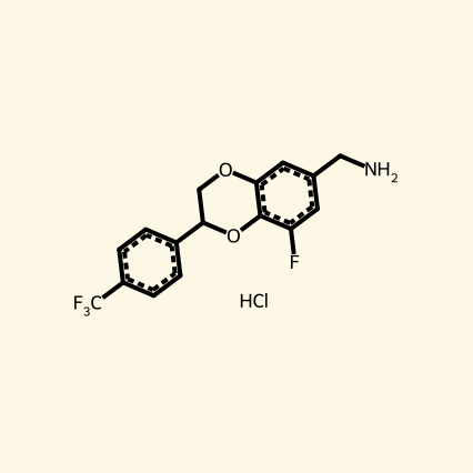 Cl.NCc1cc(F)c2c(c1)OCC(c1ccc(C(F)(F)F)cc1)O2